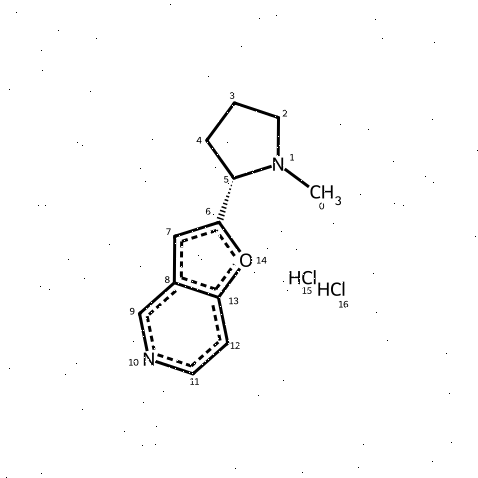 CN1CCC[C@H]1c1cc2cnccc2o1.Cl.Cl